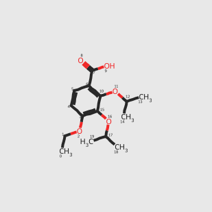 CCOc1ccc(C(=O)O)c(OC(C)C)c1OC(C)C